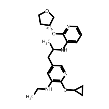 CCNc1cc(CC(C)Nc2cccnc2O[C@@H]2CCOC2)cnc1OC1CC1